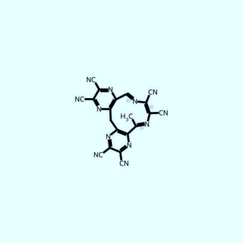 C\C1=N/C(C#N)=C(C#N)\N=C\c2nc(C#N)c(C#N)nc2Cc2nc(C#N)c(C#N)nc21